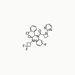 O=C(NC1CC(F)(F)C1)[C@@H](c1ccccc1Cl)N(C(=O)C1CCN1c1ncccn1)c1cccc(F)c1